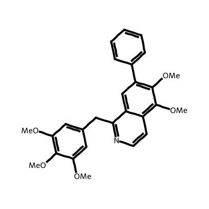 COc1cc(Cc2nccc3c(OC)c(OC)c(-c4ccccc4)cc23)cc(OC)c1OC